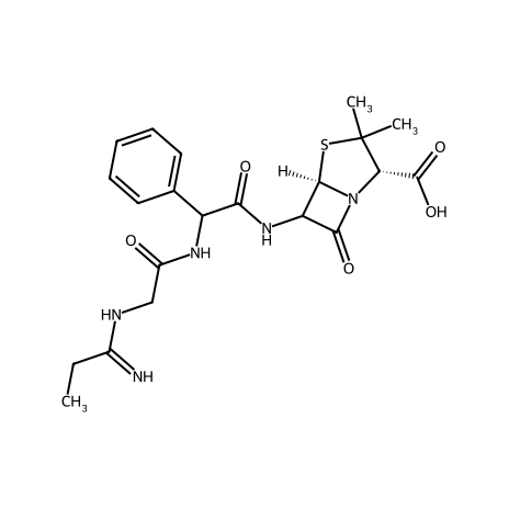 CCC(=N)NCC(=O)NC(C(=O)NC1C(=O)N2[C@@H]1SC(C)(C)[C@@H]2C(=O)O)c1ccccc1